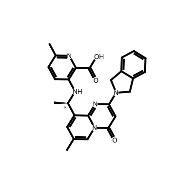 Cc1cc([C@@H](C)Nc2ccc(C)nc2C(=O)O)c2nc(N3Cc4ccccc4C3)cc(=O)n2c1